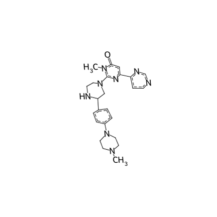 CN1CCN(c2ccc(C3CN(c4nc(-c5ccncn5)cc(=O)n4C)CCN3)cc2)CC1